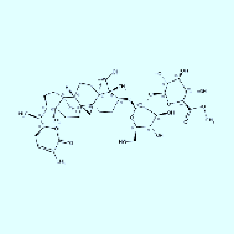 COC(=O)[C@H]1O[C@@H](O[C@H]2[C@H](O[C@H]3CC[C@]45C[C@]46CC[C@]4(C)[C@@H]([C@H](C)[C@@H]7CC=C(C)C(=O)O7)CC[C@@]4(C)[C@@H]6CC[C@H]5[C@]3(C)C(=O)O)O[C@H](CO)[C@@H](O)[C@@H]2O)[C@H](O)[C@@H](O)[C@@H]1O